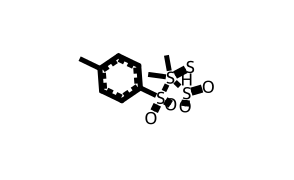 Cc1ccc(S(=O)(=O)S(C)(C)(=S)[SH](=O)=O)cc1